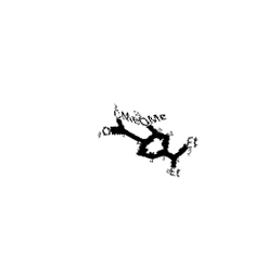 CCC(CC)c1ccc(C(=O)OC)c(OC)c1